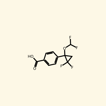 O=C(O)c1ccc(C2(OC(F)F)CC2(F)F)cc1